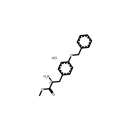 COC(=O)[C@@H](N)Cc1ccc(OCc2ccccc2)cc1.Cl